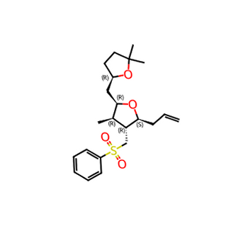 C=CC[C@@H]1O[C@H](C[C@H]2CCC(C)(C)O2)[C@H](C)[C@H]1CS(=O)(=O)c1ccccc1